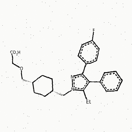 CCc1c(-c2ccccc2)c(-c2ccc(F)cc2)nn1C[C@H]1CC[C@@H](COCC(=O)O)CC1